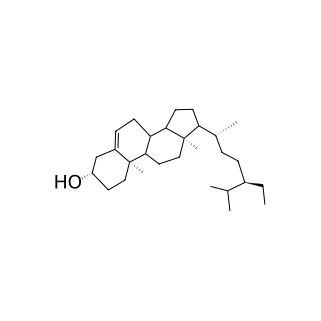 CC[C@H](CC[C@@H](C)C1CCC2C3CC=C4C[C@@H](O)CC[C@]4(C)C3CC[C@@]21C)C(C)C